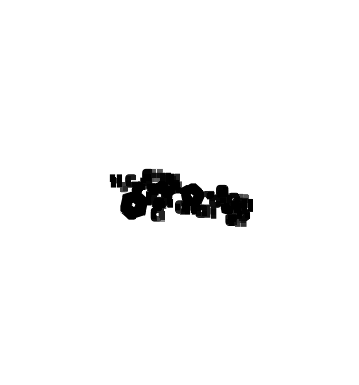 C[C@@H](c1ccccc1)N(C)c1nc(Cl)nc2c1nnn2[C@@H]1C[C@H](COP(=O)(O)CP(=O)(O)O)[C@@H](O)[C@H]1O